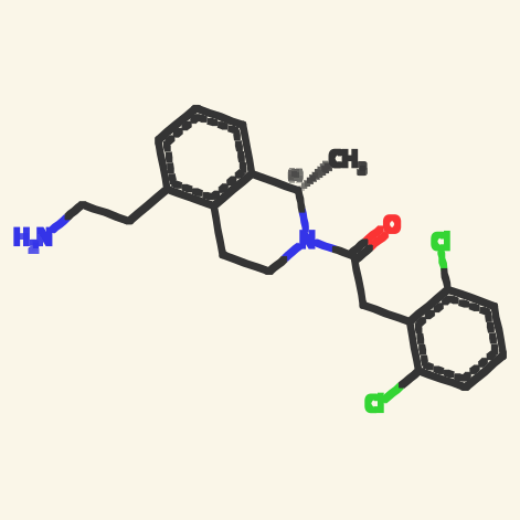 C[C@H]1c2cccc(CCN)c2CCN1C(=O)Cc1c(Cl)cccc1Cl